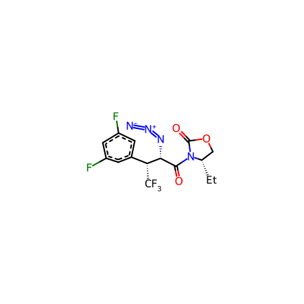 CC[C@H]1COC(=O)N1C(=O)[C@@H](N=[N+]=[N-])[C@@H](c1cc(F)cc(F)c1)C(F)(F)F